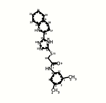 Cc1cc(C)cc(NC(=O)CSc2nnc(-c3ccc4ccccc4n3)[nH]2)c1